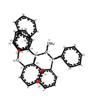 CCCCN(P(c1ccccc1)c1ccccc1)P(c1ccccc1)c1ccccc1Oc1nc2ccccc2s1